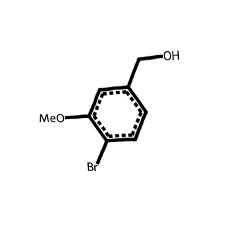 COc1cc(CO)ccc1Br